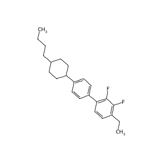 CCCCC1CCC(c2ccc(-c3ccc(CC)c(F)c3F)cc2)CC1